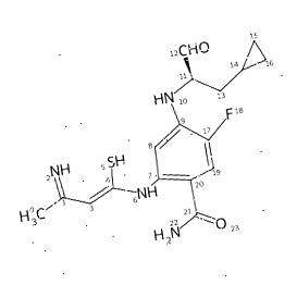 CC(=N)/C=C(\S)Nc1cc(N[C@@H](C=O)CC2CC2)c(F)cc1C(N)=O